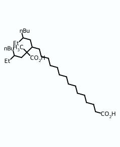 CCCCC(CC)CC(CCCCCCCCCCCCCCC(=O)O)C(C)(CC(CC)CCCC)C(=O)O